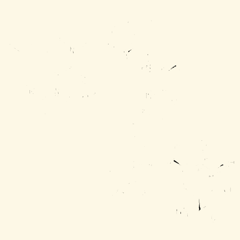 CCOCCN(CCC(=O)N[C@H](C(=O)N[C@@H](C)C(=O)Nc1ccc(COC(=O)C(C)(C)C)c(CC[C@@H]2O[C@H](C(=O)O)[C@@H](O)[C@H](O)[C@H]2O)c1)C(C)C)C(=O)CN1C(=O)C=CC1O